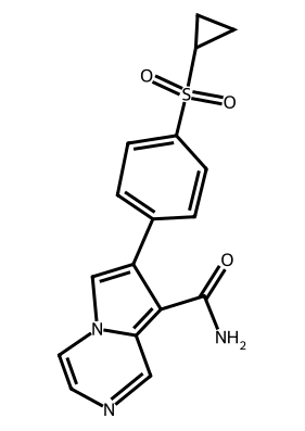 NC(=O)c1c(-c2ccc(S(=O)(=O)C3CC3)cc2)cn2ccncc12